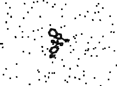 CC(C)c1cc2ccccn2c1S(=O)(=O)c1ccc(O)cc1